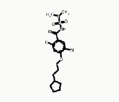 CN(C)S(=O)(=O)NC(=O)c1cc(Cl)c(OCCCC2CCCC2)cc1F